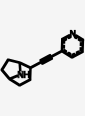 C(#CC1CCC2CCC1N2)c1cccnc1